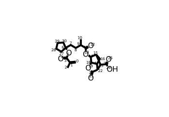 C=C(C)C(=O)OC1(CCC(C)C(=O)OC2C3CC4C2OC(=O)C4C3C(=O)O)CCCC1